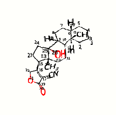 C[C@]12CCCC[C@H]1CC[C@@H]1[C@@H]2CC[C@]2(C)[C@@H](C3=C(C#N)C(=O)OC3)CCC12O